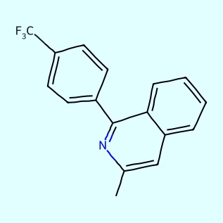 Cc1cc2ccccc2c(-c2ccc(C(F)(F)F)cc2)n1